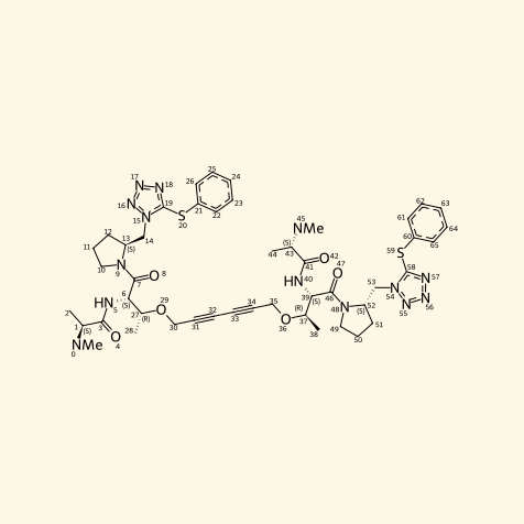 CN[C@@H](C)C(=O)N[C@H](C(=O)N1CCC[C@H]1Cn1nnnc1Sc1ccccc1)[C@@H](C)OCC#CC#CCO[C@H](C)[C@H](NC(=O)[C@H](C)NC)C(=O)N1CCC[C@H]1Cn1nnnc1Sc1ccccc1